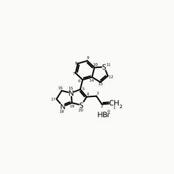 Br.C=CCC1=C(c2cccc3sccc23)N2CCN=C2S1